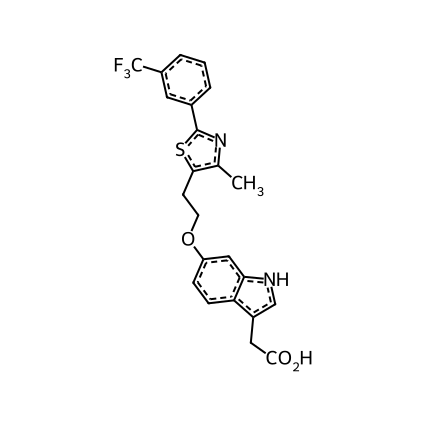 Cc1nc(-c2cccc(C(F)(F)F)c2)sc1CCOc1ccc2c(CC(=O)O)c[nH]c2c1